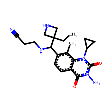 CCC1(C(NCCC#N)c2ccc3c(=O)n(N)c(=O)n(C4CC4)c3c2C)CNC1